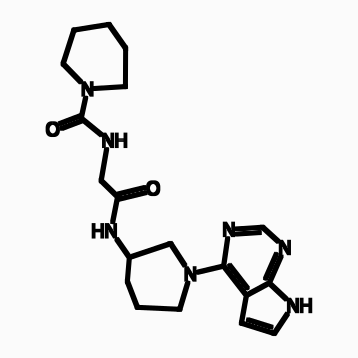 O=C(CNC(=O)N1CCCCC1)NC1CCCN(c2ncnc3[nH]ccc23)C1